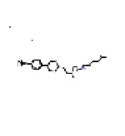 CCCCC/C=C/OC(C)CCC1CCC(c2ccc(C#N)cc2)CC1